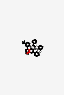 CC(C)(C)c1ccc(N2c3cc(C(C)(C)C)cc4c3B(c3sc5ccccc5c32)N2c3ccccc3Oc3cccc-4c32)c(-c2ccccc2)c1